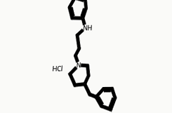 Cl.c1ccc(CC2CCN(CCCNc3ccccc3)CC2)cc1